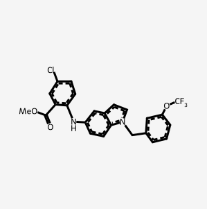 COC(=O)c1cc(Cl)ccc1Nc1ccc2c(ccn2Cc2cccc(OC(F)(F)F)c2)c1